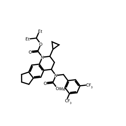 CCC(CC)OC(=O)N1c2cc3c(cc2C(N(Cc2cc(C(F)(F)F)cc(C(F)(F)F)c2)C(=O)OC)CC1C1CC1)CCC3